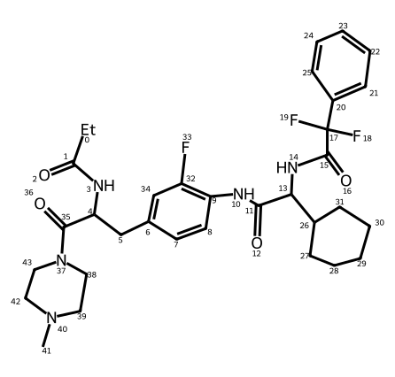 CCC(=O)NC(Cc1ccc(NC(=O)C(NC(=O)C(F)(F)c2ccccc2)C2CCCCC2)c(F)c1)C(=O)N1CCN(C)CC1